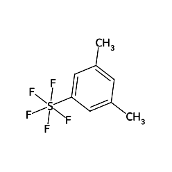 Cc1cc(C)cc(S(F)(F)(F)(F)F)c1